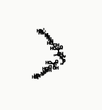 Br.Br.Br.Br.CC.C[O][Ni][O]C.Cl.Cl.Cl.Cl.O=C(O)O.O=C(O)O.[Ni].[Ni].[Ni].[Ni].[Ni].[Ni].[Ni]